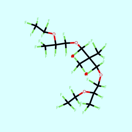 FC(F)(F)C(F)(F)OC(F)(C(F)(F)F)C(F)(F)OC(F)(F)C(C(F)(F)F)(C(F)(F)F)C(F)(F)OC(F)(F)C(F)(OC(F)(F)C(F)(F)F)C(F)(F)F